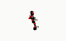 CC(C)CN(CCC(Cc1ccc(OCCCNc2ncccn2)cc1)N(O)C(=O)O)S(=O)(=O)c1ccc2c(c1)OCO2